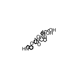 O=C(Nc1ccn(CC(O)CO)n1)C(CC1CCCC1)n1ncc(Oc2cccc3[nH]ccc23)cc1=O